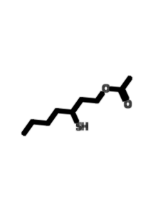 CCCCC(S)CCOC(C)=O